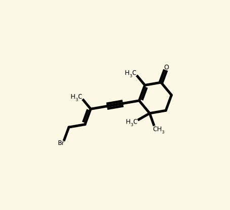 CC(C#CC1=C(C)C(=O)CCC1(C)C)=CCBr